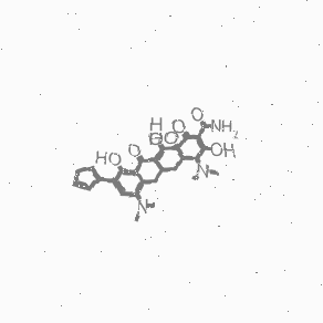 CN(C)c1cc(C2C=CCC2)c(O)c2c1CC1CC3C(N(C)C)C(O)=C(C(N)=O)C(=O)C3(O)C(O)=C1C2=O